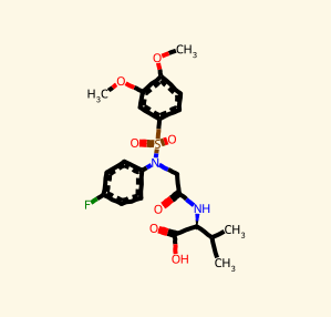 COc1ccc(S(=O)(=O)N(CC(=O)N[C@H](C(=O)O)C(C)C)c2ccc(F)cc2)cc1OC